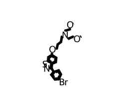 COCCN(CCCCOc1ccc2c(-c3ccc(Br)cc3)nsc2c1)CCOC